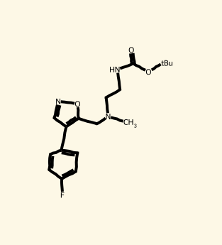 CN(CCNC(=O)OC(C)(C)C)Cc1oncc1-c1ccc(F)cc1